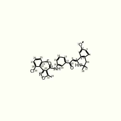 COc1ccc2c(c1)C(=CC(=O)c1cccc(NC(=O)c3c(-c4c(F)cccc4Cl)noc3C)c1)NC(C)(C)C2